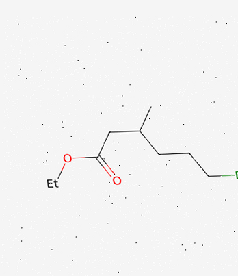 CCOC(=O)CC(C)CCCBr